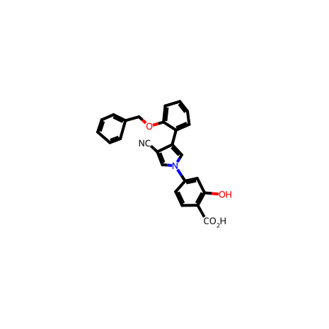 N#Cc1cn(-c2ccc(C(=O)O)c(O)c2)cc1-c1ccccc1OCc1ccccc1